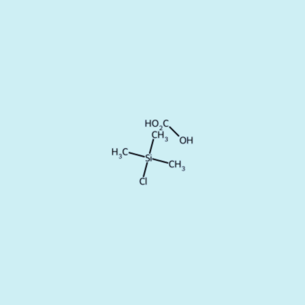 C[Si](C)(C)Cl.O=C(O)O